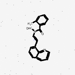 Cc1ccccc1C(=O)N(C=O)/C=C/c1cccc2cccnc12